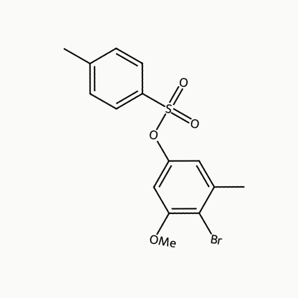 COc1cc(OS(=O)(=O)c2ccc(C)cc2)cc(C)c1Br